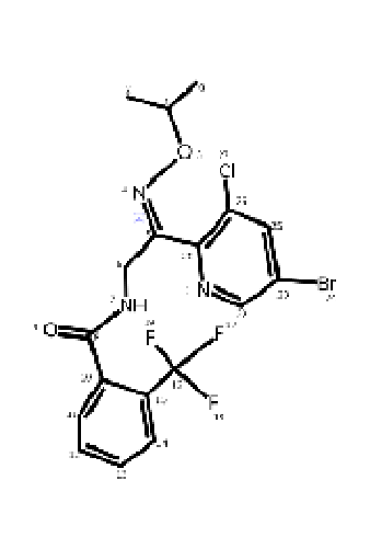 CC(C)O/N=C(/CNC(=O)c1ccccc1C(F)(F)F)c1ncc(Br)cc1Cl